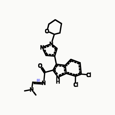 CN(C)/C=N/C(=O)c1[nH]c2c(Cl)c(Cl)ccc2c1-c1cnn(C2CCCCO2)c1